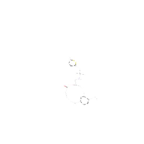 CC(C)(Cc1ccc(Cl)s1)NCC1COc2cc(ccc2C#N)CCCCC(=O)O1